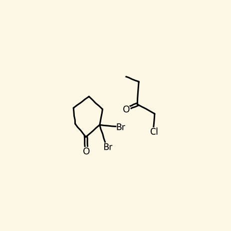 CCC(=O)CCl.O=C1CCCCC1(Br)Br